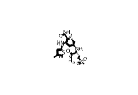 Cc1cc(Nc2cc(N[C@H](CCS(C)(=O)=O)C(N)=O)cnc2C(N)=O)sn1